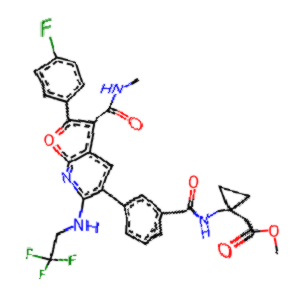 CNC(=O)c1c(-c2ccc(F)cc2)oc2nc(NCC(F)(F)F)c(-c3cccc(C(=O)NC4(C(=O)OC)CC4)c3)cc12